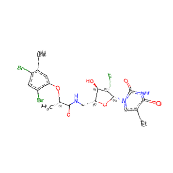 CCc1cn([C@@H]2O[C@H](CNC(=O)[C@H](C)Oc3cc(OC)c(Br)cc3Br)[C@@H](O)[C@@H]2F)c(=O)[nH]c1=O